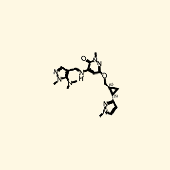 CN(C)c1c(CNc2cc(OC[C@H]3C[C@@H]3c3ccn(C)n3)nn(C)c2=O)cnn1C